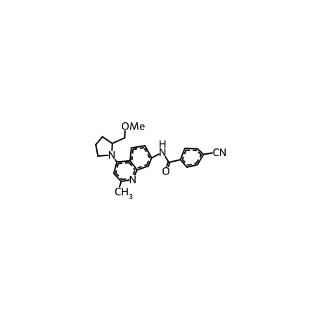 COCC1CCCN1c1cc(C)nc2cc(NC(=O)c3ccc(C#N)cc3)ccc12